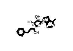 Cc1ncnc2c1ccn2[C@@H]1O[C@H](C(O)CCc2ccccc2)[C@@H](O)[C@H]1O